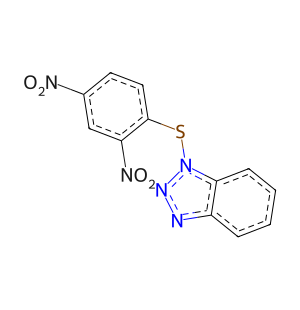 O=[N+]([O-])c1ccc(Sn2nnc3ccccc32)c([N+](=O)[O-])c1